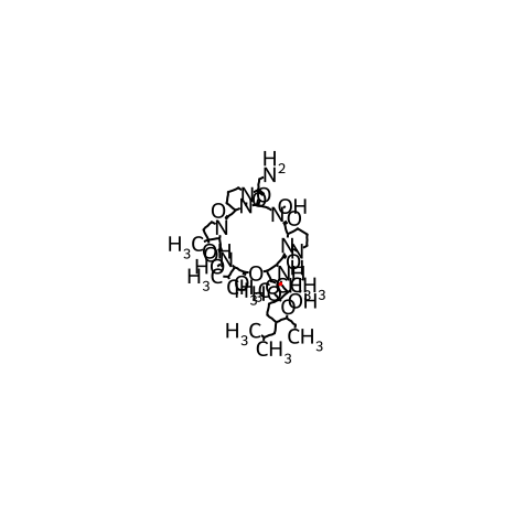 CCC1OC(O)(C(C)(O)C(=O)NC2C(=O)N3NCCCC3C(=O)N(O)CC(=O)N3C(CCCN3C(=O)CN)C(=O)N3CCC(C)(O)C3C(=O)N(O)C(C(C)C)C(=O)OC2C(C)C)CCC1CC(C)C